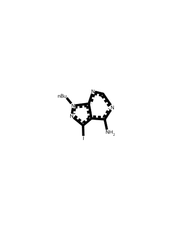 CCCCn1nc(I)c2c(N)ncnc21